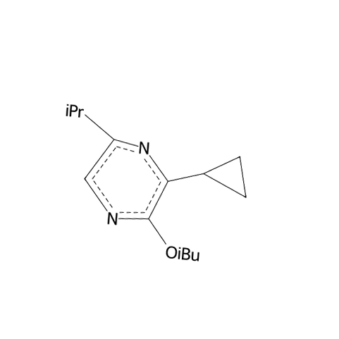 CC(C)COc1ncc(C(C)C)nc1C1CC1